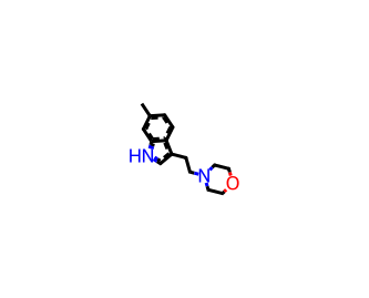 Cc1ccc2c(CCN3CCOCC3)c[nH]c2c1